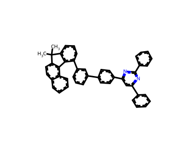 CC1(C)c2cccc(-c3cccc(-c4ccc(-c5cc(-c6ccccc6)nc(-c6ccccc6)n5)cc4)c3)c2-c2c1ccc1ccccc21